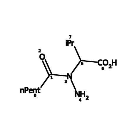 CCCCCC(=O)N(N)C(C(=O)O)C(C)C